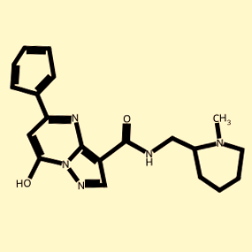 CN1CCCCC1CNC(=O)c1cnn2c(O)cc(-c3ccccc3)nc12